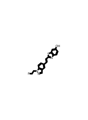 Oc1ccc2nc(/C=C/c3ccc4c(cnn4CCF)c3)sc2c1